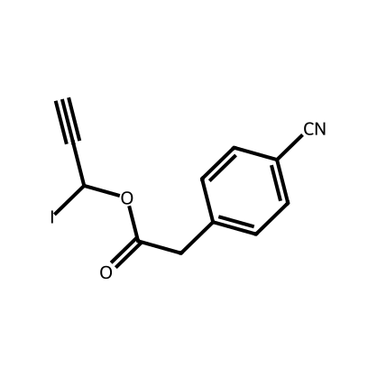 C#CC(I)OC(=O)Cc1ccc(C#N)cc1